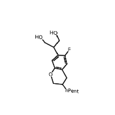 CCCCCC1COc2cc(C(CO)CO)c(F)cc2C1